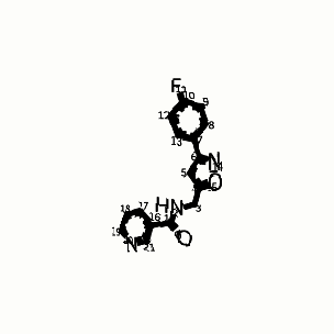 O=C(NCc1cc(-c2ccc(F)cc2)no1)c1cccnc1